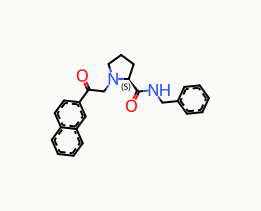 O=C(CN1CCC[C@H]1C(=O)NCc1ccccc1)c1ccc2ccccc2c1